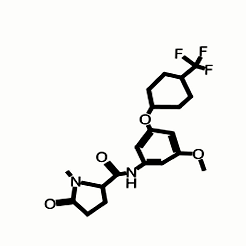 COc1cc(NC(=O)C2CCC(=O)N2C)cc(OC2CCC(C(F)(F)F)CC2)c1